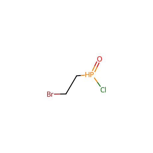 O=[PH](Cl)CCBr